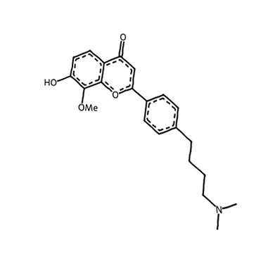 COc1c(O)ccc2c(=O)cc(-c3ccc(CCCCN(C)C)cc3)oc12